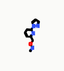 C=NOCc1cccc(-n2cccn2)n1